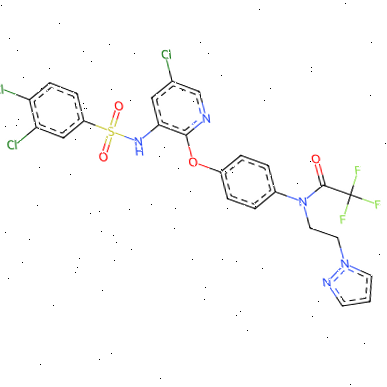 O=C(N(CCn1cccn1)c1ccc(Oc2ncc(Cl)cc2NS(=O)(=O)c2ccc(Cl)c(Cl)c2)cc1)C(F)(F)F